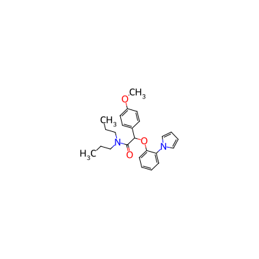 CCCN(CCC)C(=O)C(Oc1ccccc1-n1cccc1)c1ccc(OC)cc1